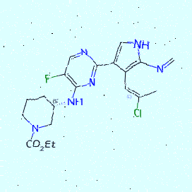 C=Nc1[nH]cc(-c2ncc(F)c(N[C@H]3CCCN(C(=O)OCC)C3)n2)c1/C=C(\C)Cl